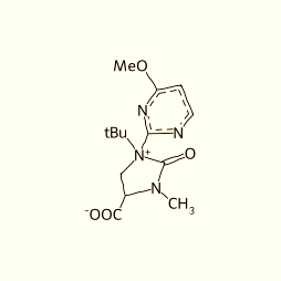 COc1ccnc([N+]2(C(C)(C)C)CC(C(=O)[O-])N(C)C2=O)n1